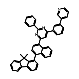 CC1(C)c2ccccc2-c2cccc(-c3ccc(-c4cc(-c5cccc(-c6cccnc6)c5)nc(-c5ccccc5)n4)c4ccccc34)c21